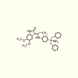 CC/C(Nc1ccc(C(N)(Cc2ccccc2)Cc2ccccc2)cc1)=C1\C(=O)Nc2cc(OC)c(OC)cc21